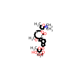 C/C=C/C(CC(=O)N(C)C)[C@H]1CCCC[C@@H](C)C(=O)C2=CC3C(C=CC4CC(O[C@@H]5O[C@@H](C)[C@H](O)[C@@H](O)[C@H]5OC)CC43)C2CC(=O)O1